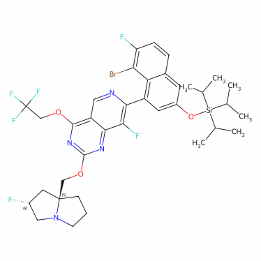 CC(C)[Si](Oc1cc(-c2ncc3c(OCC(F)(F)F)nc(OC[C@@]45CCCN4C[C@H](F)C5)nc3c2F)c2c(Br)c(F)ccc2c1)(C(C)C)C(C)C